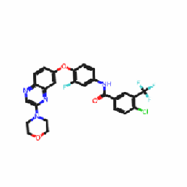 O=C(Nc1ccc(Oc2ccc3ncc(N4CCOCC4)nc3c2)c(F)c1)c1ccc(Cl)c(C(F)(F)F)c1